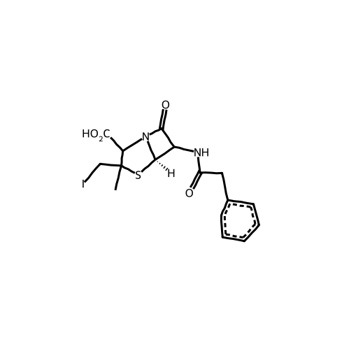 CC1(CI)S[C@@H]2C(NC(=O)Cc3ccccc3)C(=O)N2C1C(=O)O